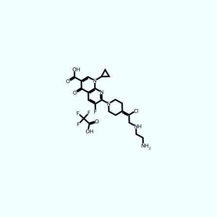 NCCNCC(Cl)=C1CCN(c2nc3c(cc2F)c(=O)c(C(=O)O)cn3C2CC2)CC1.O=C(O)C(F)(F)F